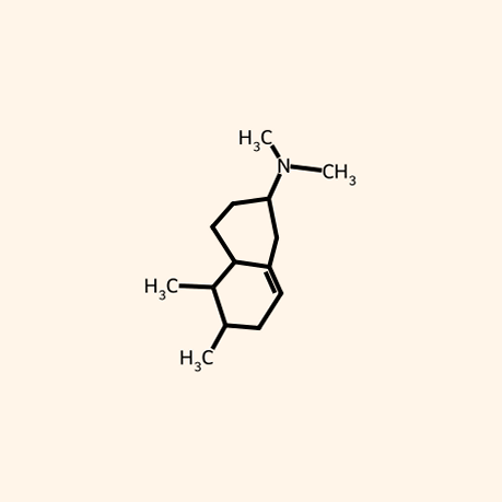 CC1CC=C2CC(N(C)C)CCC2C1C